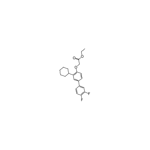 CCOC(=O)COc1ccc(-c2ccc(F)c(F)c2)cc1C1CCCCC1